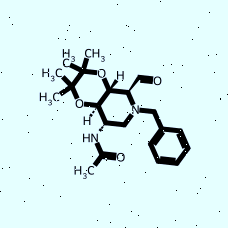 CC(=O)N[C@H]1CN(Cc2ccccc2)[C@H](C=O)[C@H]2OC(C)(C)C(C)(C)O[C@@H]21